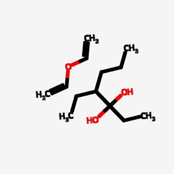 C=COC=C.CCCC(CC)C(O)(O)CC